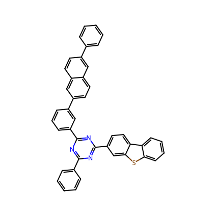 c1ccc(-c2ccc3cc(-c4cccc(-c5nc(-c6ccccc6)nc(-c6ccc7c(c6)sc6ccccc67)n5)c4)ccc3c2)cc1